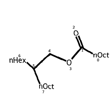 CCCCCCCCC(=O)OCC(CCCCCC)CCCCCCCC